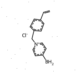 Bc1cc[n+](Cc2ccc(C=C)cc2)cc1.[Cl-]